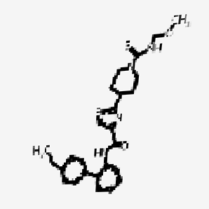 CCc1ccc(-c2ccccc2NC(=O)c2csc(C3CCN(C(=S)NCOC)CC3)n2)cc1